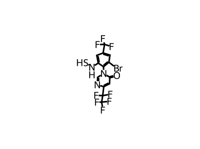 O=c1cc(C(F)(F)C(F)(F)F)ncn1-c1c(Br)cc(C(F)(F)F)cc1NS